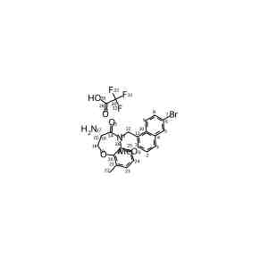 COc1ccc2cc(Br)ccc2c1CN1C(=O)[C@@H](N)COc2c(C)cccc21.O=C(O)C(F)(F)F